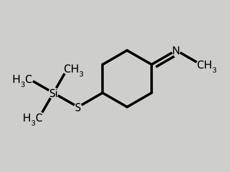 CN=C1CCC(S[Si](C)(C)C)CC1